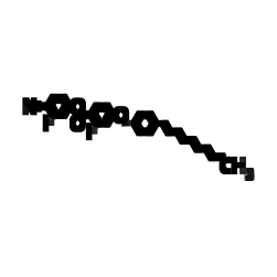 CCCCCCCCCC[C@H]1CC[C@H](COc2ccc(C(=O)Oc3ccc(C#N)c(F)c3)c(F)c2)CC1